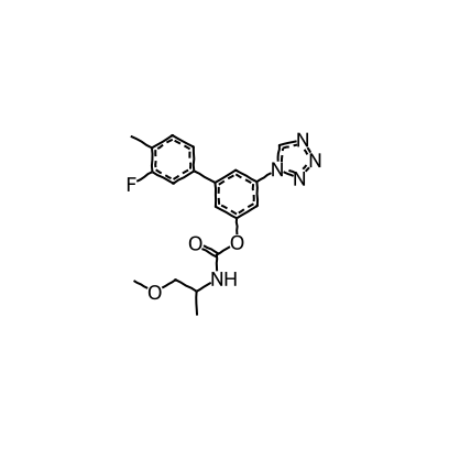 COCC(C)NC(=O)Oc1cc(-c2ccc(C)c(F)c2)cc(-n2cnnn2)c1